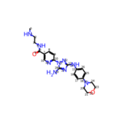 CNCCNC(=O)c1ccc(-n2nc(Nc3ccc(N4CCOCC4)cc3)nc2N)nc1